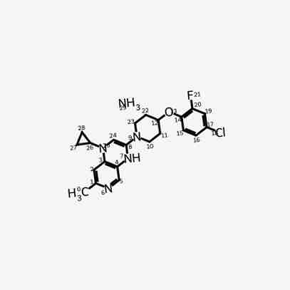 Cc1cc2c(cn1)NC(N1CCC(Oc3ccc(Cl)cc3F)CC1)=CN2C1CC1.N